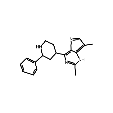 Cc1nc(C2CCNC(c3ccccc3)C2)c2ncc(C)c-2[nH]1